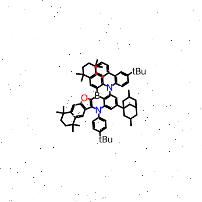 CC1CC2CC(C)CC(c3cc4c5c(c3)N(c3ccc(C(C)(C)C)cc3)c3c(oc6cc7c(cc36)C(C)(C)CCC7(C)C)B5c3cc5c(cc3N4c3ccc(C(C)(C)C)cc3-c3ccccc3)C(C)(C)CCC5(C)C)(C1)C2